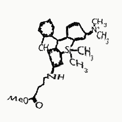 COC(=O)CCCNc1ccc2c(c1)[Si](C)(C)C1=CC(=[N+](C)C)C=CC1=C2c1ccccc1C